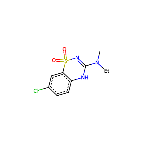 CCN(C)C1=NS(=O)(=O)c2cc(Cl)ccc2N1